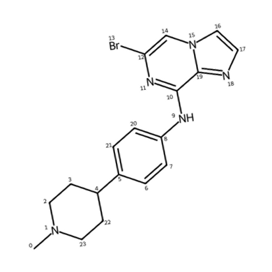 CN1CCC(c2ccc(Nc3nc(Br)cn4ccnc34)cc2)CC1